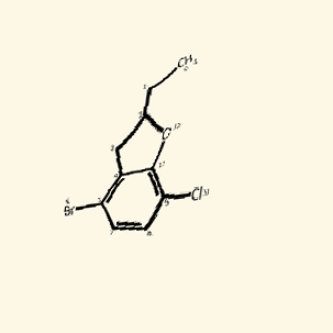 CCC1Cc2c(Br)ccc(Cl)c2O1